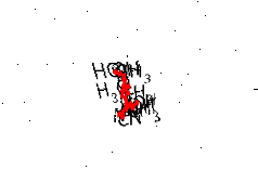 Cc1c(COc2cc(OCc3cncc(C#N)c3)c(CN(C)CC(O)CO)cc2Cl)cccc1-c1cccc(OCCCN(C)CC(O)CO)c1C